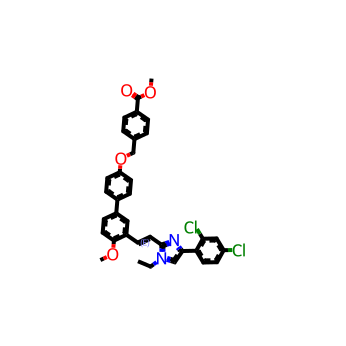 CCn1cc(-c2ccc(Cl)cc2Cl)nc1/C=C/c1cc(-c2ccc(OCc3ccc(C(=O)OC)cc3)cc2)ccc1OC